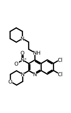 O=[N+]([O-])c1c(N2CCOCC2)nc2cc(Cl)c(Cl)cc2c1NCCN1CCCCC1